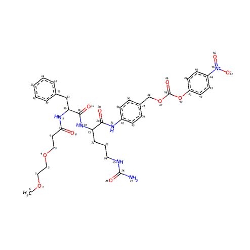 COCCOCCC(=O)NC(Cc1ccccc1)C(=O)NC(CCCNC(N)=O)C(=O)Nc1ccc(COC(=O)Oc2ccc([N+](=O)[O-])cc2)cc1